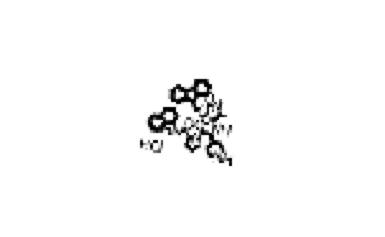 C[C@@H](C(=O)N[C@H](C(=O)N1CCC[C@H]1C(=O)N[C@@H]1CCCc2ccccc21)C1CCNCC1)N(C)C(=O)OCC1c2ccccc2-c2ccccc21.Cl